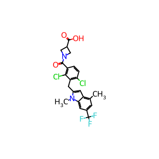 Cc1cc(C(F)(F)F)cc2c1cc(Cc1c(Cl)ccc(C(=O)N3CC(C(=O)O)C3)c1Cl)n2C